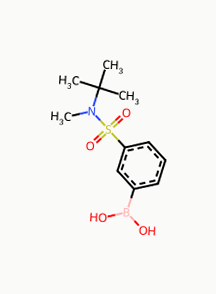 CN(C(C)(C)C)S(=O)(=O)c1cccc(B(O)O)c1